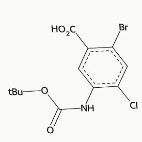 CC(C)(C)OC(=O)Nc1cc(C(=O)O)c(Br)cc1Cl